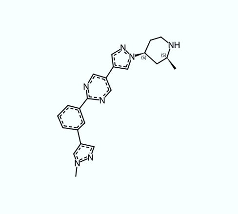 C[C@H]1C[C@@H](n2cc(-c3cnc(-c4cccc(-c5cnn(C)c5)c4)nc3)cn2)CCN1